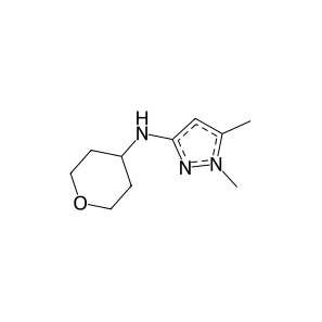 Cc1cc(NC2CCOCC2)nn1C